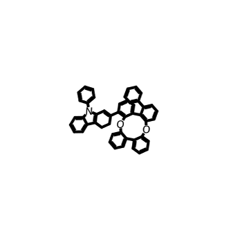 C1=C(c2cccc3c2Oc2ccccc2-c2ccccc2Oc2cccc(-c4ccccc4)c2-3)CCc2c1n(-c1ccccc1)c1ccccc21